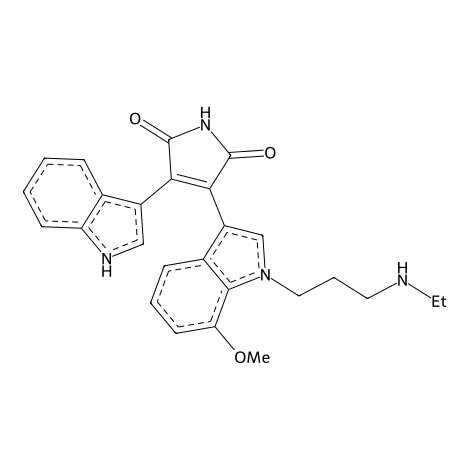 CCNCCCn1cc(C2=C(c3c[nH]c4ccccc34)C(=O)NC2=O)c2cccc(OC)c21